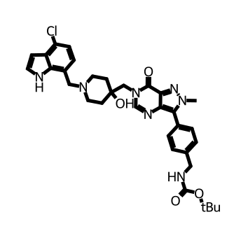 Cn1nc2c(=O)n(CC3(O)CCN(Cc4ccc(Cl)c5cc[nH]c45)CC3)cnc2c1-c1ccc(CNC(=O)OC(C)(C)C)cc1